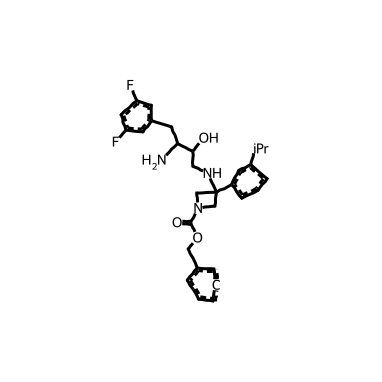 CC(C)c1cccc(C2(NCC(O)C(N)Cc3cc(F)cc(F)c3)CN(C(=O)OCc3ccccc3)C2)c1